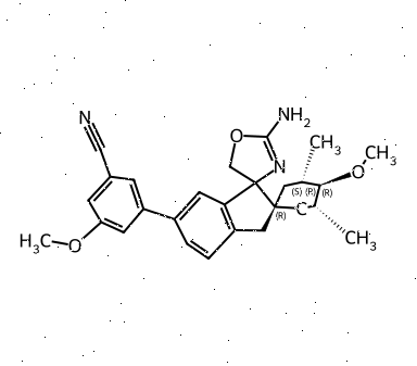 COc1cc(C#N)cc(-c2ccc3c(c2)C2(COC(N)=N2)[C@@]2(C3)C[C@@H](C)[C@H](OC)[C@@H](C)C2)c1